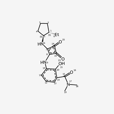 CC[C@H]1CCC[C@@H]1Nc1c(Nc2cccc(C(=O)N(C)C)c2O)c(=O)c1=O